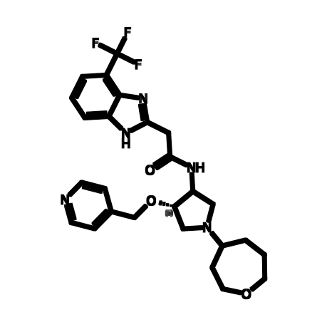 O=C(Cc1nc2c(C(F)(F)F)cccc2[nH]1)NC1CN(C2CCCOCC2)C[C@@H]1OCc1ccncc1